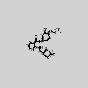 O=C(Nc1ccc(OCC(F)(F)F)c(C(F)(F)F)c1)c1cccnc1NCc1ccc(=O)[nH]c1